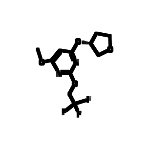 COc1cc(O[C@@H]2CCOC2)nc(OCC(F)(F)F)n1